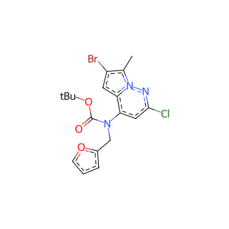 Cc1c(Br)cc2c(N(Cc3ccco3)C(=O)OC(C)(C)C)cc(Cl)nn12